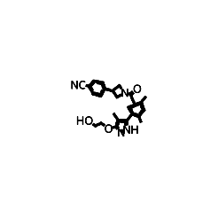 Cc1cc(C)c(-c2[nH]nc(OCCO)c2C)cc1C(=O)N1CC(c2ccc(C#N)cc2)C1